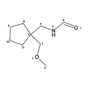 COCC1(CNC=O)CCCC1